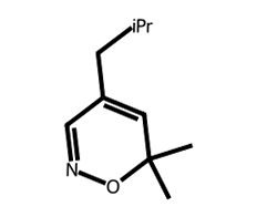 CC(C)CC1=CC(C)(C)ON=C1